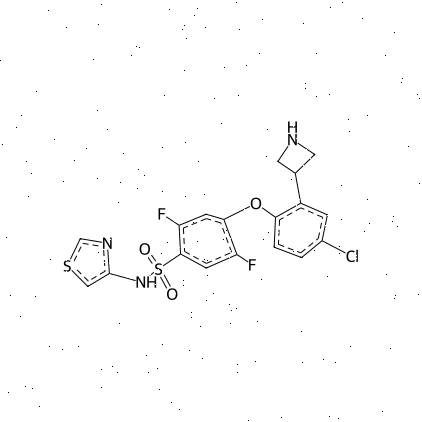 O=S(=O)(Nc1cscn1)c1cc(F)c(Oc2ccc(Cl)cc2C2CNC2)cc1F